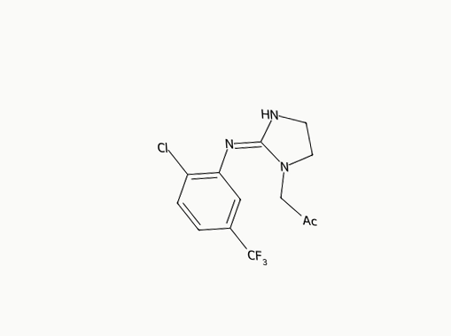 CC(=O)CN1CCN/C1=N/c1cc(C(F)(F)F)ccc1Cl